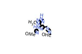 COc1ccc(Nc2ncc(CN3CCN(CC=O)CC3)cc2-c2nc(C)nc3[nH]cnc23)cn1